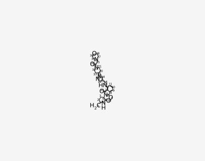 C=C1CCC(N2C(=O)c3cccc(NCc4cnn(C5CCN(C(=O)CN6CCOCC6)CC5)c4)c3C2=O)C(=O)N1